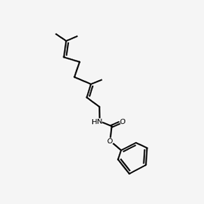 CC(C)=CCC/C(C)=C/CNC(=O)Oc1ccccc1